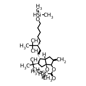 C=C1C[C@H]2[C@@H](C=C[C@H](CCCCCO[SiH](C)C)C(C)(C)C)[C@H](C(C)(C)C)C[C@@]2(O[SiH](C)C)C1OC(C)=O